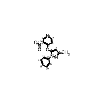 Cc1cc(Oc2ccncc2[N+](=O)[O-])n(-c2ccccc2)n1